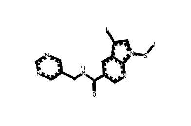 O=C(NCc1cncnc1)c1cnc2c(c1)c(I)cn2SI